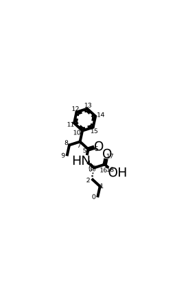 CCC[C@H](NC(=O)C(CC)c1ccccc1)C(=O)O